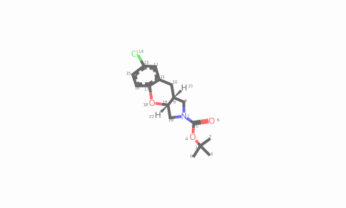 CC(C)(C)OC(=O)N1C[C@H]2Cc3cc(Cl)ccc3O[C@H]2C1